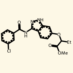 CCC(Oc1ccc2c(NC(=O)c3cccc(Cl)c3)n[nH]c2c1)C(=O)OC